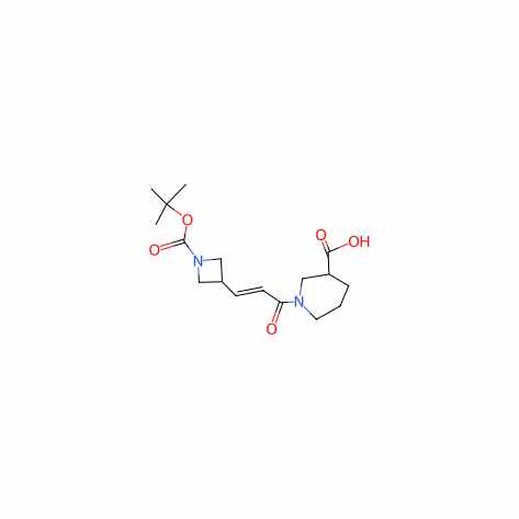 CC(C)(C)OC(=O)N1CC(C=CC(=O)N2CCCC(C(=O)O)C2)C1